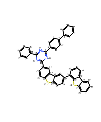 c1ccc(-c2ccc(-c3nc(-c4ccccc4)nc(-c4ccc5sc6ccc(-c7cccc8c7sc7ccccc78)cc6c5c4)n3)cc2)cc1